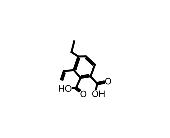 C=Cc1c(CC)ccc(C(=O)O)c1C(=O)O